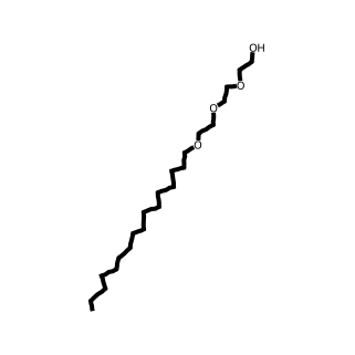 CCCCCCCCCCCCCCCCOCCOCCOCCO